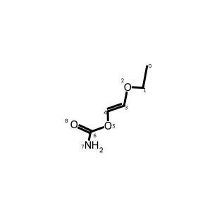 CCOC=COC(N)=O